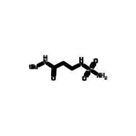 CC(C)(C)NC(=O)CCNS(N)(=O)=O